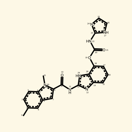 Cc1ccc2c(c1)cc(C(=O)Nc1nc3cccc(OC(=O)Nc4ncc[nH]4)c3[nH]1)n2C